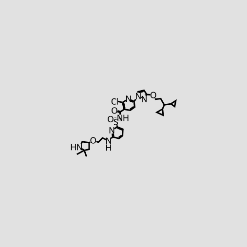 CC1(C)CC(OCCNc2cccc([S+]([O-])NC(=O)c3ccc(-n4ccc(OCCC(C5CC5)C5CC5)n4)nc3Cl)n2)CN1